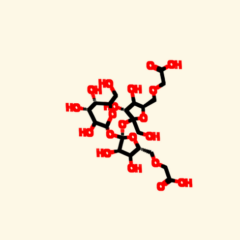 O=C(O)COC[C@H]1OC(CO)(O[C@]2(O[C@H]3OC(CO)[C@@H](O)[C@@H](O)C3O)O[C@H](COCC(=O)O)C(O)[C@H]2O)[C@H](O)C1O